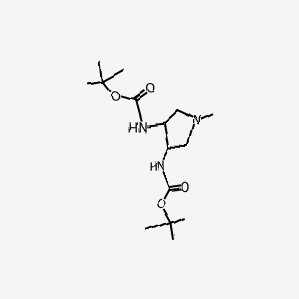 CN1CC(NC(=O)OC(C)(C)C)C(NC(=O)OC(C)(C)C)C1